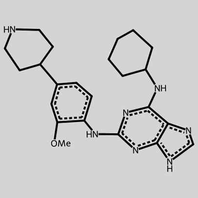 COc1cc(C2CCNCC2)ccc1Nc1nc(NC2CCCCC2)c2nc[nH]c2n1